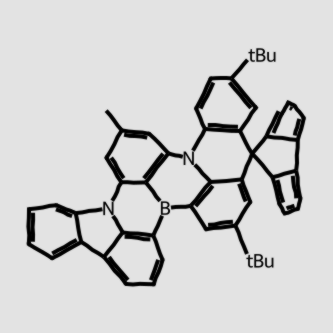 Cc1cc2c3c(c1)-n1c4ccccc4c4cccc(c41)B3c1cc(C(C)(C)C)cc3c1N2c1ccc(C(C)(C)C)cc1C31c2ccccc2-c2ccccc21